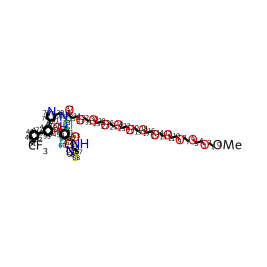 COCCOCCOCCOCCOCCOCCOCCOCCOCCOCCOCCOCCC(=O)NCc1cc(-c2cc(-c3cccc(C(F)(F)F)c3)ccc2Oc2cc(F)c(S(=O)(=O)Nc3cscn3)cc2Cl)ccn1